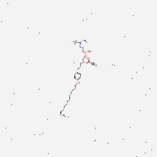 CCCCCCCCCCCCOc1ccc(CCCC(COP(O)OCCN(C)C)OC(C)=O)cc1